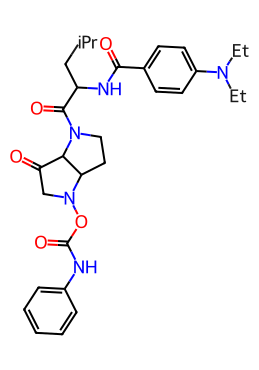 CCN(CC)c1ccc(C(=O)NC(CC(C)C)C(=O)N2CCC3C2C(=O)CN3OC(=O)Nc2ccccc2)cc1